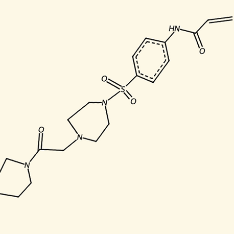 C=CC(=O)Nc1ccc(S(=O)(=O)N2CCN(CC(=O)N3CCCCC3)CC2)cc1